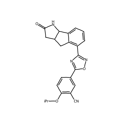 CC(C)Oc1ccc(-c2nc(-c3cccc4c3CC3CC(=O)NC43)no2)cc1C#N